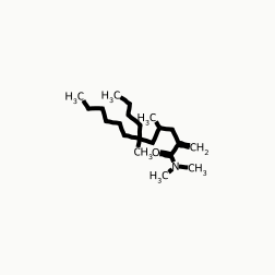 C=C(CC(C)CC(C)(CCCC)CCCCCC)C(=O)N(C)C